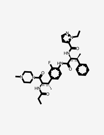 CCC(=O)N[C@@H](C(=O)N1CCN(C)CC1)[C@@H](C)c1ccc(NC(=O)[C@@H](NC(=O)c2ccnn2CC)[C@@H](C)c2ccccc2)c(F)c1